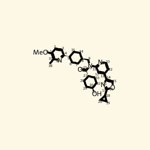 COc1ccc([C@H]2CC[C@H](CN(c3cc(-c4coc(C5CC5)n4)ccn3)C(=O)[C@H]3CC[C@H](O)CC3)CC2)nc1C